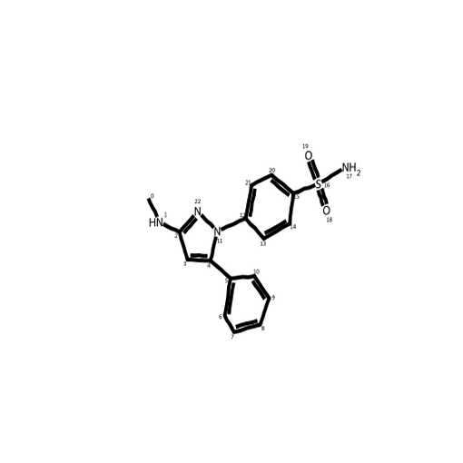 CNc1cc(-c2ccccc2)n(-c2ccc(S(N)(=O)=O)cc2)n1